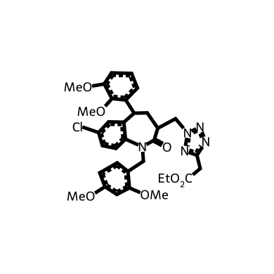 CCOC(=O)Cc1nnn(CC2CC(c3cccc(OC)c3OC)c3cc(Cl)ccc3N(Cc3ccc(OC)cc3OC)C2=O)n1